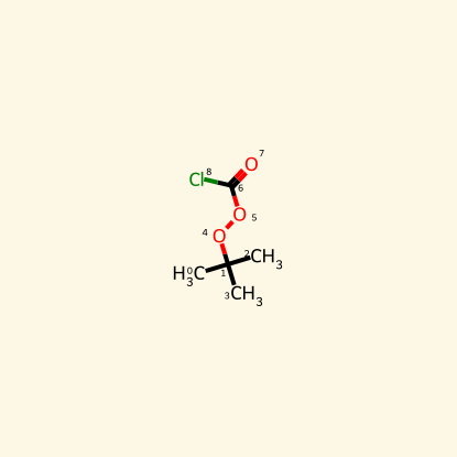 CC(C)(C)OOC(=O)Cl